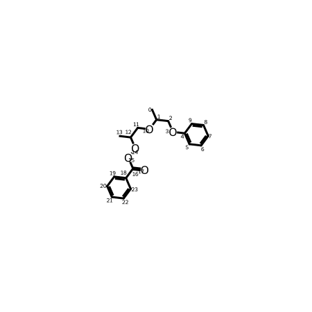 CC(COc1ccccc1)OCC(C)OOC(=O)c1ccccc1